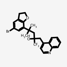 CC(C)(CC(O)(Cc1ccnc2ccccc12)C(F)(F)F)c1cc(Br)cc2c1OCC2